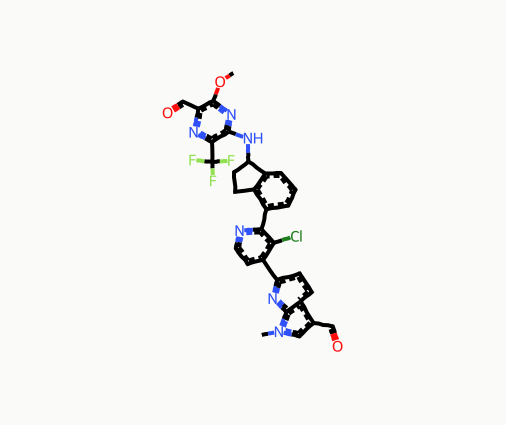 COc1nc(NC2CCc3c(-c4nccc(-c5ccc6c(C=O)cn(C)c6n5)c4Cl)cccc32)c(C(F)(F)F)nc1C=O